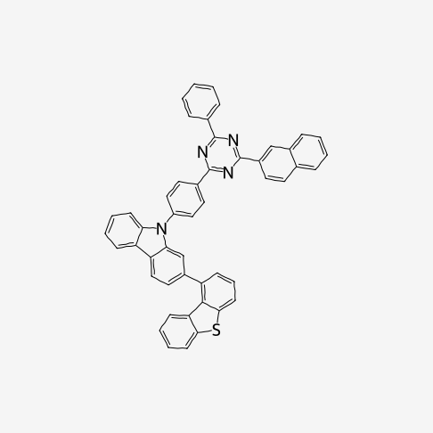 c1ccc(-c2nc(-c3ccc(-n4c5ccccc5c5ccc(-c6cccc7sc8ccccc8c67)cc54)cc3)nc(-c3ccc4ccccc4c3)n2)cc1